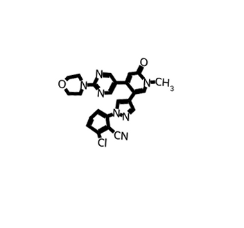 Cn1cc(-c2cnn(-c3cccc(Cl)c3C#N)c2)c(-c2cnc(N3CCOCC3)nc2)cc1=O